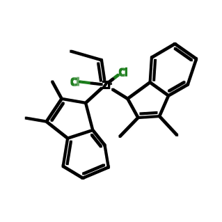 C[CH]=[Zr]([Cl])([Cl])([CH]1C(C)=C(C)c2ccccc21)[CH]1C(C)=C(C)c2ccccc21